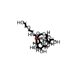 O=C(NCCOCCO)OCC1O[C@H]2O[C@@H]3C(CO)O[C@@H](OCCCC[C@H]1[C@H](O)C2O)C(O)[C@H]3O